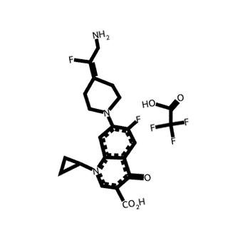 NCC(F)=C1CCN(c2cc3c(cc2F)c(=O)c(C(=O)O)cn3C2CC2)CC1.O=C(O)C(F)(F)F